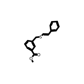 COC(=O)c1cccc(CSC=Cc2ccccc2)c1